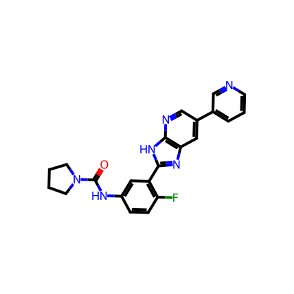 O=C(Nc1ccc(F)c(-c2nc3cc(-c4cccnc4)cnc3[nH]2)c1)N1CCCC1